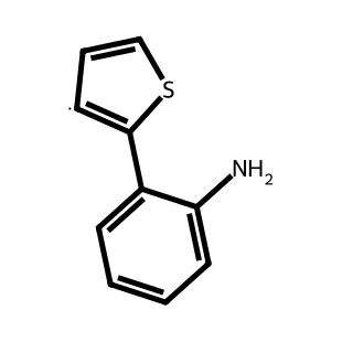 Nc1ccccc1-c1[c]ccs1